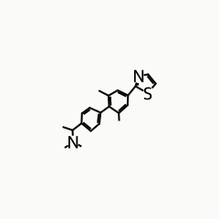 Cc1cc(-c2nccs2)cc(C)c1-c1ccc(C(C)N(C)C)cc1